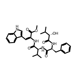 COC(=O)/C(=C\c1c[nH]c2ccccc12)NC(=O)[C@@H](NC(=O)[C@H](Cc1ccccc1)NC(=O)[C@@H](O)C(C)C)C(C)C